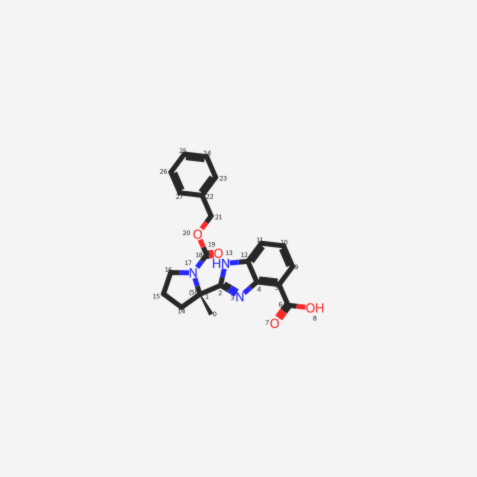 C[C@@]1(c2nc3c(C(=O)O)cccc3[nH]2)CCCN1C(=O)OCc1ccccc1